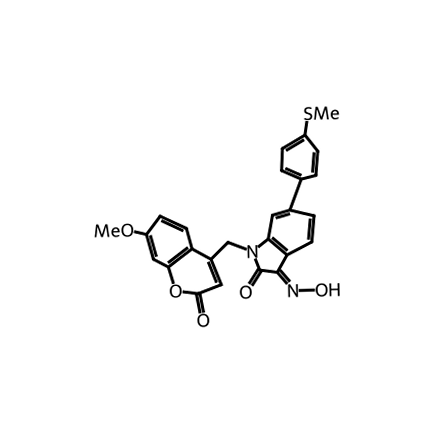 COc1ccc2c(CN3C(=O)/C(=N/O)c4ccc(-c5ccc(SC)cc5)cc43)cc(=O)oc2c1